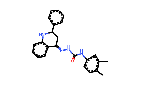 Cc1ccc(NC(=O)NN=C2CC(c3ccccc3)Nc3ccccc32)cc1C